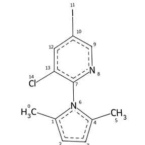 Cc1ccc(C)n1-c1ncc(I)cc1Cl